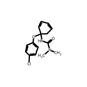 CN(C)C(=O)NC1(Oc2ccc(Cl)cc2)C=CC=CC1